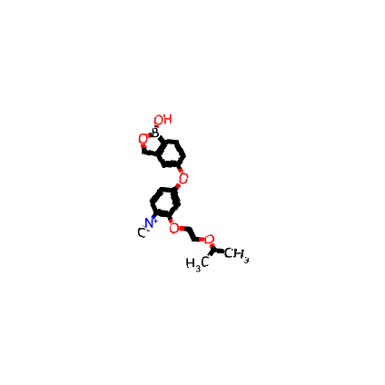 [C-]#[N+]c1ccc(Oc2ccc3c(c2)COB3O)cc1OCCOC(C)C